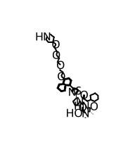 C[C@@H](C(=O)N[C@H](C(=O)N1CCC[C@H]1c1nc(-c2ccc(OCCOCCOCCOC3CCNCC3)c3ccccc23)cs1)C1CCCCC1)N(C)C(=O)O